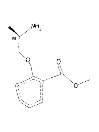 COC(=O)c1ccccc1OC[C@@H](C)N